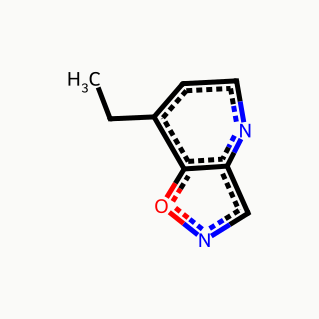 CCc1ccnc2cnoc12